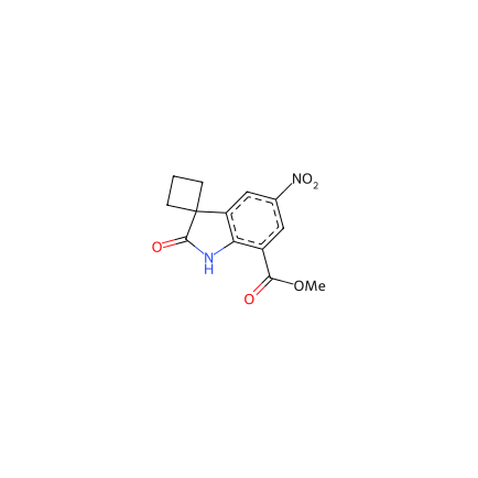 COC(=O)c1cc([N+](=O)[O-])cc2c1NC(=O)C21CCC1